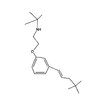 CC(C)(C)C/C=C/c1cccc(OCCNC(C)(C)C)c1